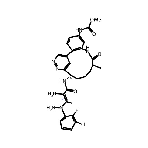 COC(=O)Nc1ccc2c(c1)NC(=O)C(C)CCC[C@H](NC(=O)/C(N)=C(\C)N(N)c1cccc(Cl)c1F)c1cc-2cnn1